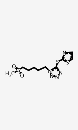 CS(=O)(=O)CCCCCn1nnnc1Sc1nccs1